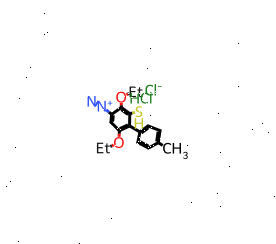 CCOc1cc([N+]#N)c(OCC)c(S)c1-c1ccc(C)cc1.Cl.[Cl-]